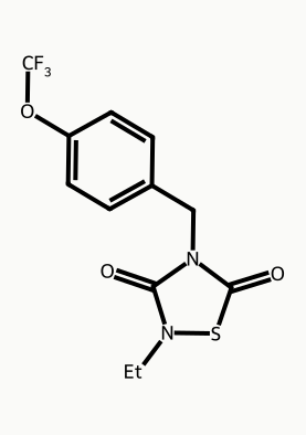 CCn1sc(=O)n(Cc2ccc(OC(F)(F)F)cc2)c1=O